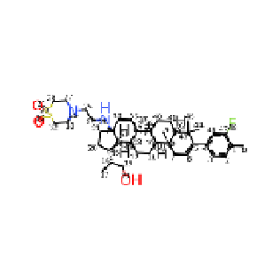 Cc1ccc(C2=CC[C@]3(C)[C@H]4CC[C@@H]5[C@H]6[C@H](C(C)CO)CC[C@]6(NCCN6CCS(=O)(=O)CC6)CC[C@@]5(C)[C@]4(C)CC[C@H]3C2(C)C)cc1F